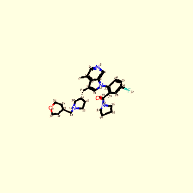 Cc1cncc2c1c(C[C@@H]1CCN(CC3CCOCC3)C1)cn2-c1ccc(F)cc1C(=O)N1CCCC1